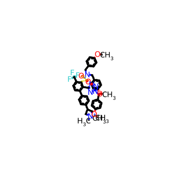 COc1ccc(CN(Cc2ccc(OC)cc2)S(=O)(=O)c2c(C(F)(F)F)ccc(-c3ccc(C4C[N+](C)(C)C4)cc3)c2-c2nnn(Cc3ccc(OC)cc3)n2)cc1